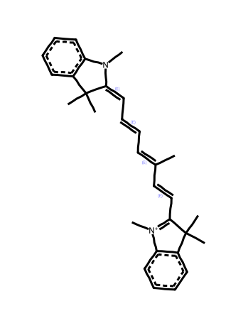 CC(/C=C/C1=[N+](C)c2ccccc2C1(C)C)=C\C=C\C=C1\N(C)c2ccccc2C1(C)C